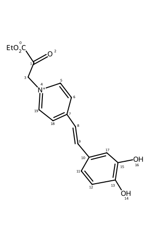 CCOC(=O)C(=O)C[n+]1ccc(/C=C/c2ccc(O)c(O)c2)cc1